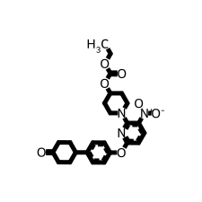 CCOC(=O)OC1CCN(c2nc(Oc3ccc(C4CCC(=O)CC4)cc3)ccc2[N+](=O)[O-])CC1